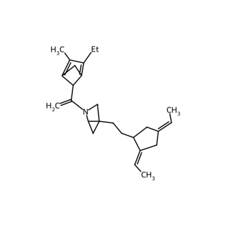 C=C(C1C2=C(C)C(CC)=C1C2)N1CC2(CCC3C/C(=C\C)C/C3=C\C)CC12